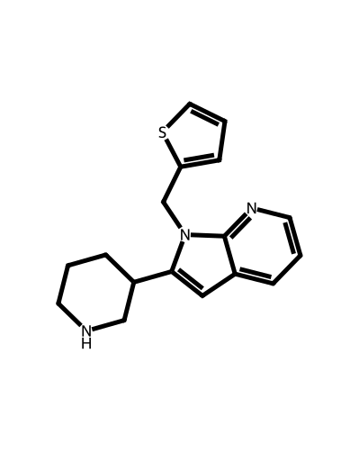 c1csc(Cn2c(C3CCCNC3)cc3cccnc32)c1